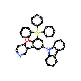 c1ccc(S(c2ccccc2)(c2ccccc2)c2cc(-n3c4ccccc4c4ccccc43)cc3c2oc2ccncc23)cc1